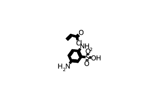 C=CC(=O)Cl.Nc1ccc(N)c(S(=O)(=O)O)c1